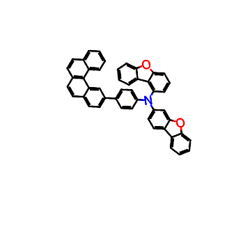 c1ccc2c(c1)ccc1ccc3ccc(-c4ccc(N(c5ccc6c(c5)oc5ccccc56)c5cccc6oc7ccccc7c56)cc4)cc3c12